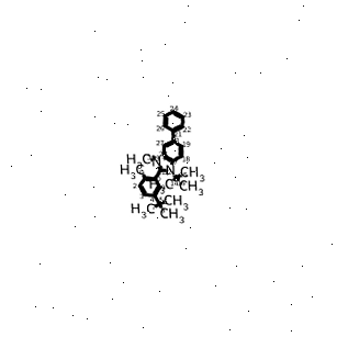 Cc1ccc(C(C)(C)C)cc1-c1n(C(C)(C)C)c2ccc(-c3ccccc3)cc2[n+]1C